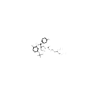 CC(C)(C)C[C@H]1N[C@@H](C(=O)NCC[C@H](O)CO)[C@H](c2cccc(Cl)c2)[C@@]12C(=O)Nc1c(Cl)cccc12